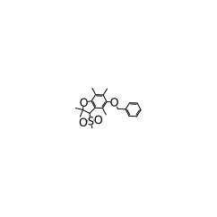 Cc1c(C)c2c(c(C)c1OCc1ccccc1)[C@@H](S(C)(=O)=O)C(C)(C)O2